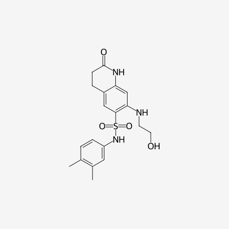 Cc1ccc(NS(=O)(=O)c2cc3c(cc2NCCO)NC(=O)CC3)cc1C